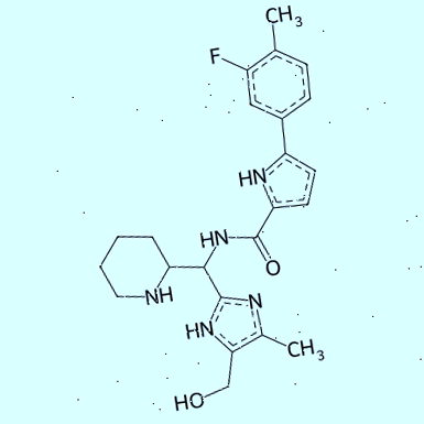 Cc1ccc(-c2ccc(C(=O)NC(c3nc(C)c(CO)[nH]3)C3CCCCN3)[nH]2)cc1F